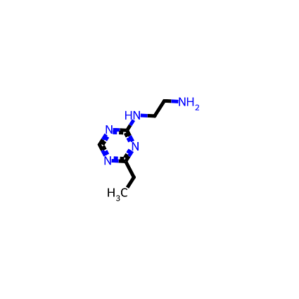 CCc1ncnc(NCCN)n1